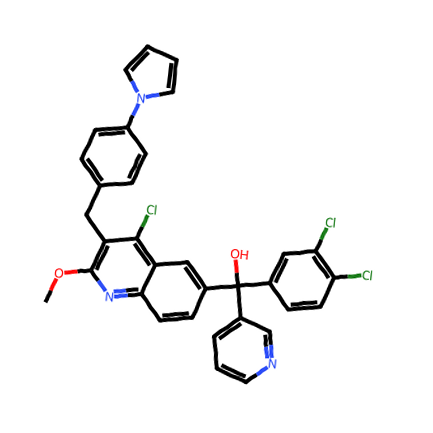 COc1nc2ccc(C(O)(c3cccnc3)c3ccc(Cl)c(Cl)c3)cc2c(Cl)c1Cc1ccc(-n2cccc2)cc1